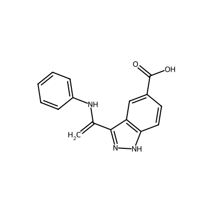 C=C(Nc1ccccc1)c1n[nH]c2ccc(C(=O)O)cc12